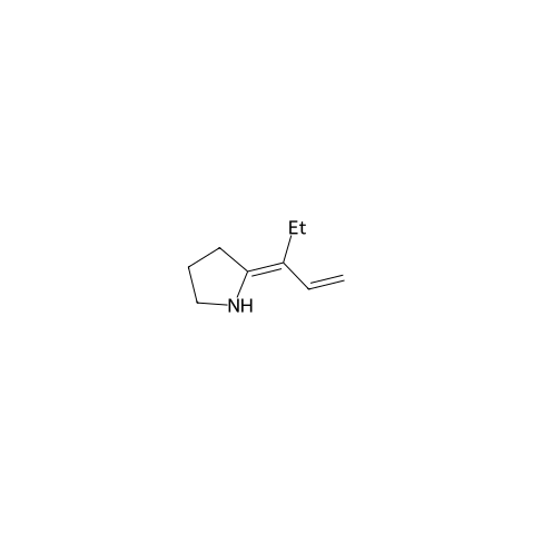 C=C/C(CC)=C1/CCCN1